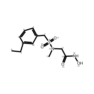 CCc1cccc(CS(=O)(=O)N(C)CC(=O)NO)c1